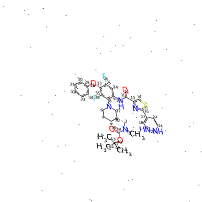 CN(C[C@@H]1CCCN(c2c(NC(=O)c3csc(C4=CNNC=C4)n3)cc(F)c(Oc3ccccc3)c2F)C1)C(=O)OC(C)(C)C